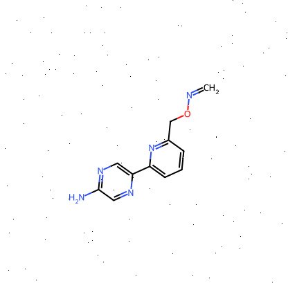 C=NOCc1cccc(-c2cnc(N)cn2)n1